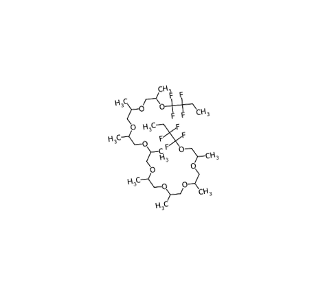 CCC(F)(F)C(F)(F)OCC(C)OCC(C)OCC(C)OCC(C)OCC(C)OCC(C)OCC(C)OCC(C)OC(F)(F)C(F)(F)CC